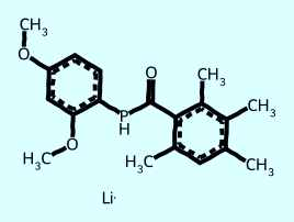 COc1ccc(PC(=O)c2c(C)cc(C)c(C)c2C)c(OC)c1.[Li]